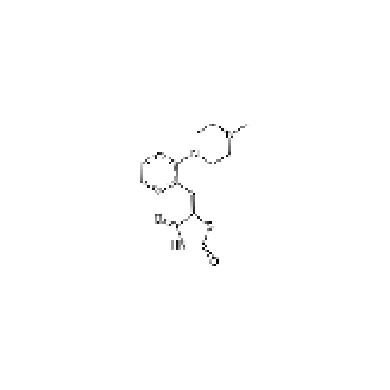 CN1CCN(c2ccccc2C=C2SC(=O)NC2=O)CC1